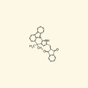 CC1(C)c2cc(C=C3C(=O)c4ccccc4C3=O)[nH]c2-n2c3ccccc3c3cccc1c32